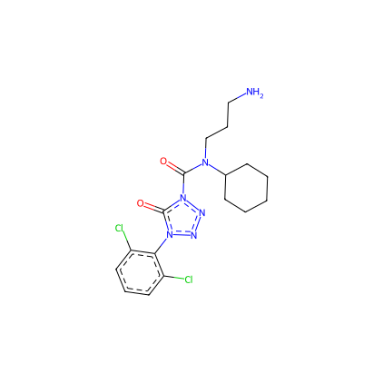 NCCCN(C(=O)n1nnn(-c2c(Cl)cccc2Cl)c1=O)C1CCCCC1